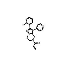 C=CC(=O)N1CCn2nc(-c3ccccc3F)c(-c3ccncc3)c2C1